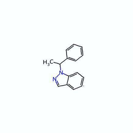 CC(c1ccccc1)n1ncc2c[c]ccc21